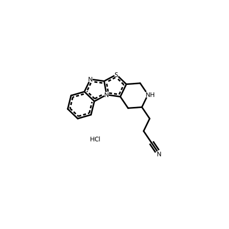 Cl.N#CCCC1Cc2c(sc3nc4ccccc4n23)CN1